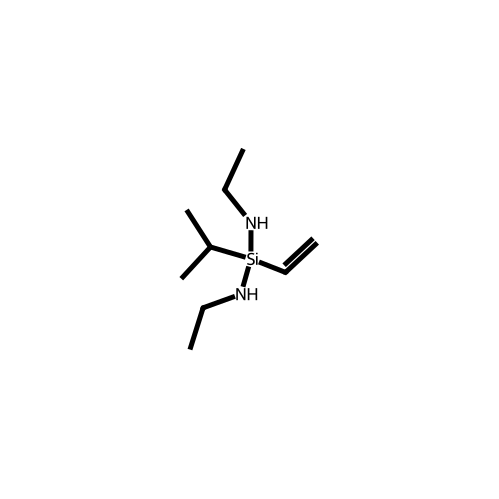 C=C[Si](NCC)(NCC)C(C)C